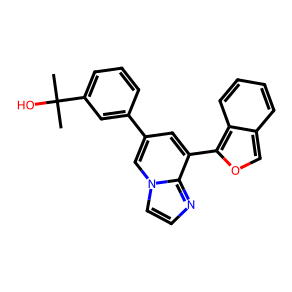 CC(C)(O)c1cccc(-c2cc(-c3occ4ccccc34)c3nccn3c2)c1